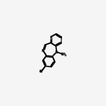 CN1c2ccccc2C=Nc2cc(Cl)ccc21